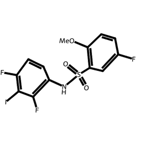 COc1ccc(F)cc1S(=O)(=O)Nc1ccc(F)c(I)c1F